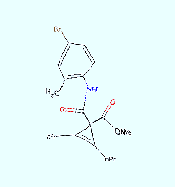 CCCC1=C(CCC)C1(C(=O)Nc1ccc(Br)cc1C)C(=O)OC